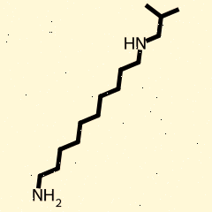 CC(C)CNCCCCCCCCCCN